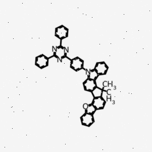 CC1(C)c2ccc3c(oc4ccccc43)c2-c2ccc3c(c21)c1ccccc1n3-c1ccc(-c2nc(-c3ccccc3)nc(-c3ccccc3)n2)cc1